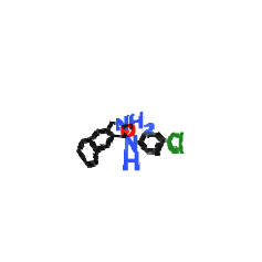 NCc1cc2ccccc2cc1C(=O)Nc1ccc(Cl)cc1